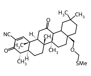 CSCOC[C@]12CCC(C)(C)CC1C1C(=O)C[C@@H]3[C@@]4(C)C=C(C#N)C(=O)[C@@H](C)[C@@H]4CC[C@@]3(C)[C@]1(C)CC2